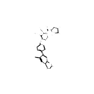 Cc1cc2cccnc2cc1-c1ccc(OC2CCN(C(=O)[C@H]3CCCO3)C(C)C2)cc1